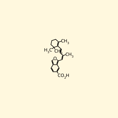 CC(C=CC1=C(C)CCCC1(C)C)=Cc1occ2ccc(C(=O)O)cc12